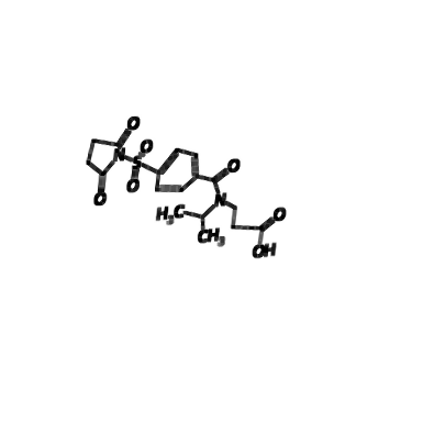 CC(C)N(CCC(=O)O)C(=O)c1ccc(S(=O)(=O)N2C(=O)CCC2=O)cc1